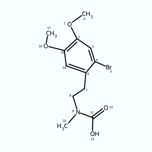 COc1cc(Br)c(CCN(C)C(=O)O)cc1OC